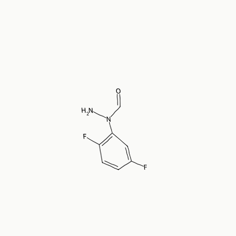 NN(C=O)c1cc(F)ccc1F